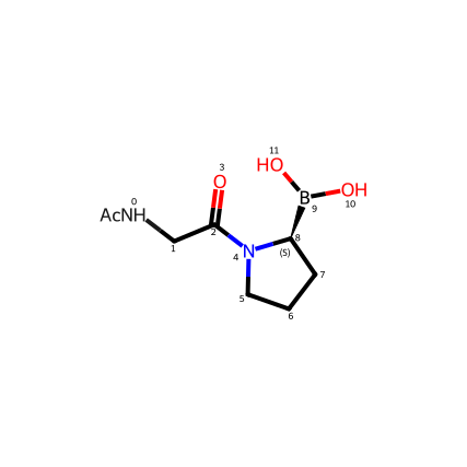 CC(=O)NCC(=O)N1CCC[C@@H]1B(O)O